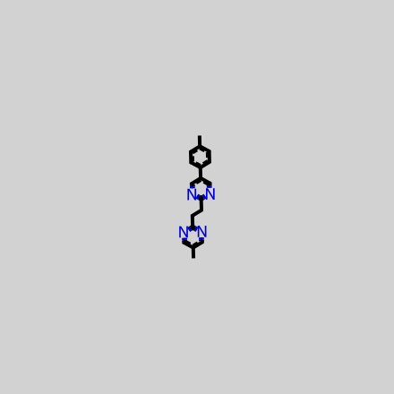 Cc1ccc(-c2cnc(CCc3ncc(C)cn3)nc2)cc1